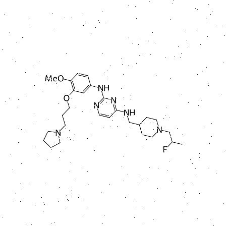 COc1ccc(Nc2nccc(NCC3CCN(CC(C)F)CC3)n2)cc1OCCCN1CCCC1